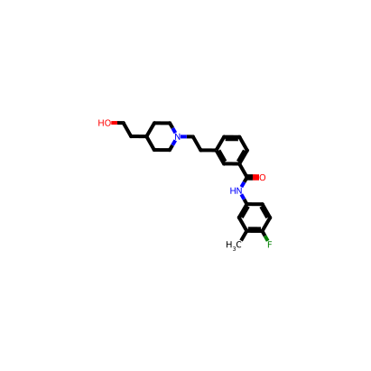 Cc1cc(NC(=O)c2cccc(CCN3CCC(CCO)CC3)c2)ccc1F